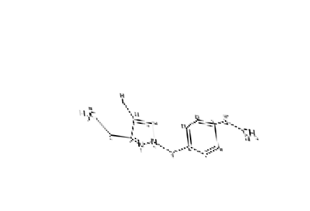 CCc1nn(Cc2ccc(SC)cc2)cc1I